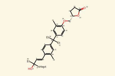 CCCCCCCC(O)(C=Cc1ccc(C(CC)(CC)c2ccc(OC[C@@H]3CCC(=O)O3)c(C)c2)cc1C)CC